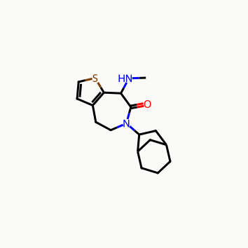 CNC1C(=O)N(C2CC3CCCC2C3)CCc2ccsc21